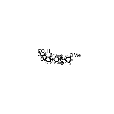 COc1cccc(S(=O)(=O)N2CCN(c3ccc4oc(OC(=O)O)cc4c3Br)CC2)c1